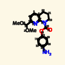 COC(OC)c1ccc2c(n1)N(C(=O)Oc1ccc(N)cc1)CCC2